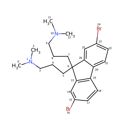 CN(C)CCCC1(CCCN(C)C)c2cc(Br)ccc2-c2ccc(Br)cc21